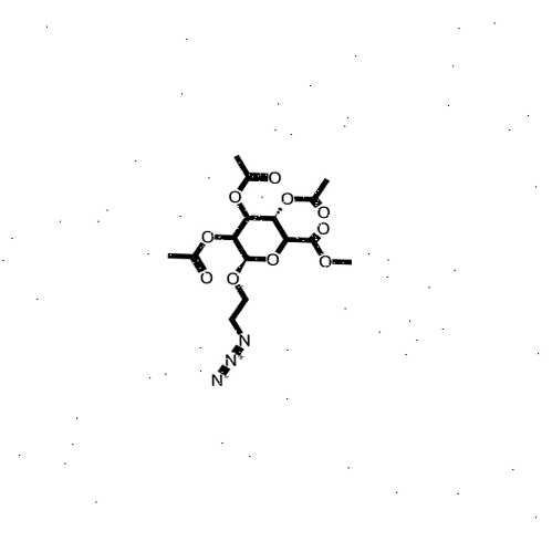 COC(=O)C1O[C@@H](OCCN=[N+]=[N-])C(OC(C)=O)C(OC(C)=O)[C@@H]1OC(C)=O